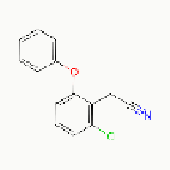 N#CCc1c(Cl)cccc1Oc1ccccc1